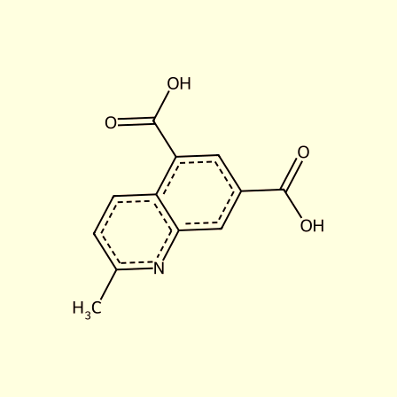 Cc1ccc2c(C(=O)O)cc(C(=O)O)cc2n1